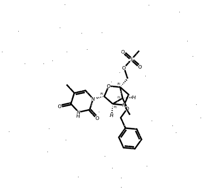 Cc1cn([C@@H]2O[C@@]3(COS(C)(=O)=O)CN(C)[C@@H]2[C@@H]3OCc2ccccc2)c(=O)[nH]c1=O